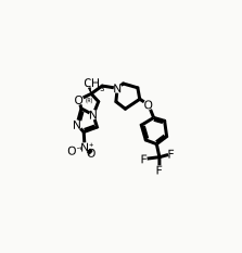 C[C@@]1(CN2CCC(Oc3ccc(C(F)(F)F)cc3)CC2)Cn2cc([N+](=O)[O-])nc2O1